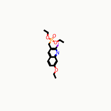 CCOc1ccc2cc(CP(=O)(OCC)OCC)c(I)nc2c1